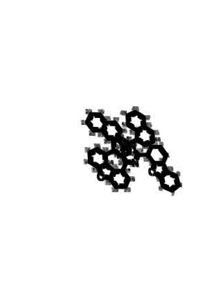 C1=Cc2c(oc3ccccc23)C(c2nc(-c3ccc4ccccc4c3)nc(-c3cccc4oc5cccc(-c6ccc(-c7cccc8ccccc78)cc6)c5c34)n2)C1